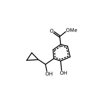 COC(=O)c1ccc(O)c(C(O)C2CC2)c1